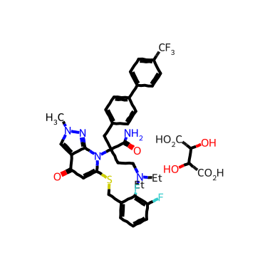 CCN(CC)CCC(Cc1ccc(-c2ccc(C(F)(F)F)cc2)cc1)(C(N)=O)n1c(SCc2cccc(F)c2F)cc(=O)c2cn(C)nc21.O=C(O)C(O)C(O)C(=O)O